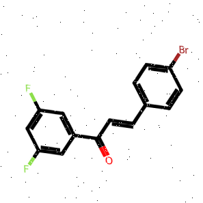 O=C(C=Cc1ccc(Br)cc1)c1cc(F)cc(F)c1